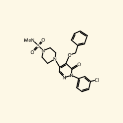 CNS(=O)(=O)N1CCN(c2cnn(-c3cccc(Cl)c3)c(=O)c2OCc2ccccc2)CC1